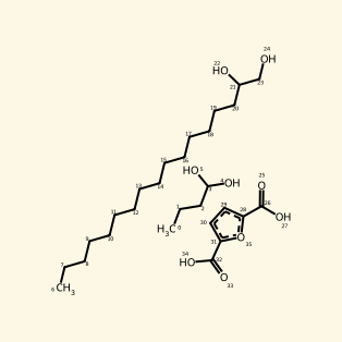 CCCC(O)O.CCCCCCCCCCCCCCCC(O)CO.O=C(O)c1ccc(C(=O)O)o1